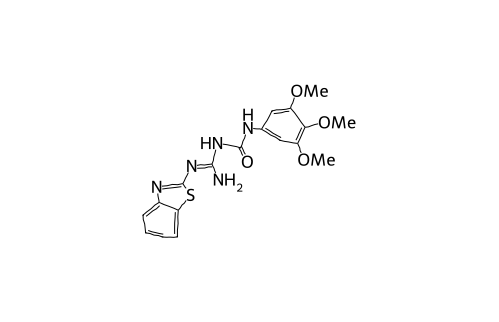 COc1cc(NC(=O)N/C(N)=N/c2nc3ccccc3s2)cc(OC)c1OC